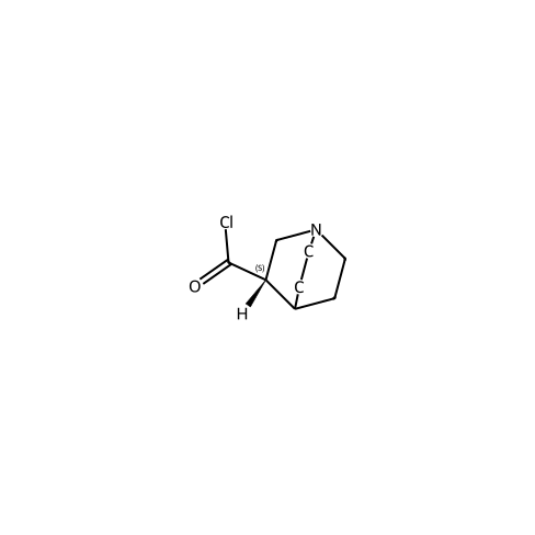 O=C(Cl)[C@@H]1CN2CCC1CC2